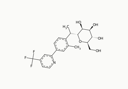 Cc1cc(-c2cc(C(F)(F)F)ccn2)ccc1C(C)[C@H]1O[C@H](CO)[C@@H](O)[C@H](O)[C@@H]1O